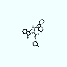 Cc1cccc(COC(=O)N[C@@](C)(Cc2c[nH]c3ccccc23)C(=O)NCC2(c3ccccn3)CCCCC2)c1